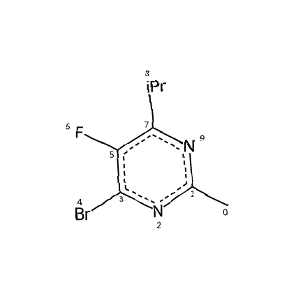 Cc1nc(Br)c(F)c(C(C)C)n1